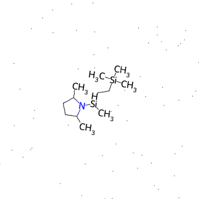 CC1CCC(C)N1[SiH](C)CC[Si](C)(C)C